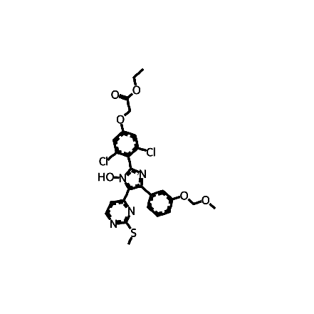 CCOC(=O)COc1cc(Cl)c(-c2nc(-c3cccc(OCOC)c3)c(-c3ccnc(SC)n3)n2O)c(Cl)c1